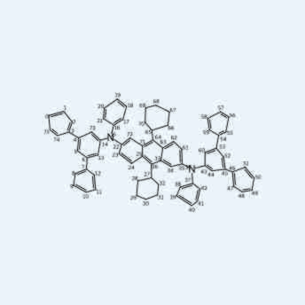 c1ccc(-c2cc(-c3ccccc3)cc(N(c3ccccc3)c3ccc4c(C5CCCCC5)c5cc(N(c6ccccc6)c6cc(-c7ccccc7)cc(-c7ccccc7)c6)ccc5c(C5CCCCC5)c4c3)c2)cc1